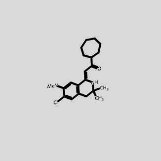 CNc1cc2c(cc1Cl)CC(C)(C)NC2=CC(=O)C1CCCCCC1